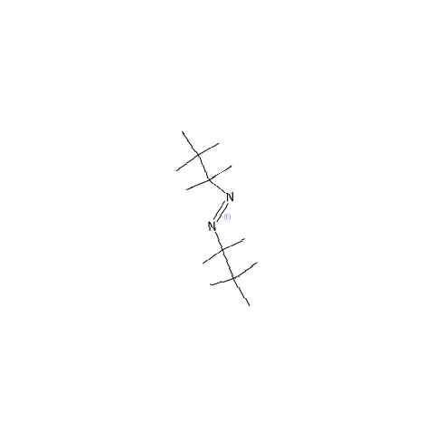 CC(C)(C)C(C)(C)/N=N/C(C)(C)C(C)(C)C